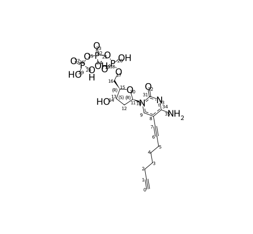 C#CCCCCC#Cc1cn([C@H]2C[C@H](O)[C@@H](COP(=O)(O)OP(=O)(O)OP(=O)(O)O)O2)c(=O)nc1N